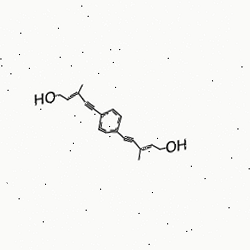 CC(C#Cc1ccc(C#CC(C)=CCO)cc1)=CCO